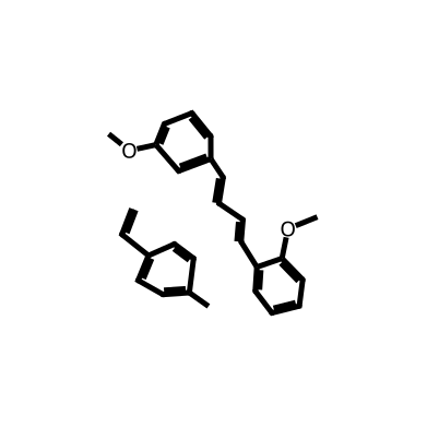 C=Cc1ccc(C)cc1.COc1cccc(C=CC=Cc2ccccc2OC)c1